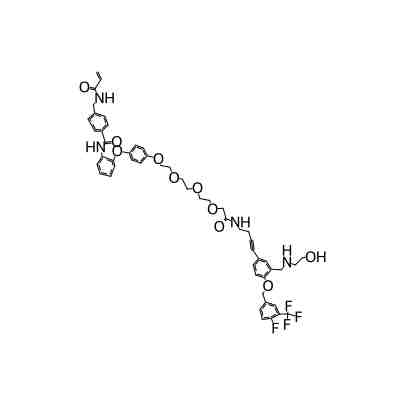 C=CC(=O)NCc1ccc(C(=O)Nc2ccccc2Oc2ccc(OCCOCCOCCOCC(=O)NCCC#Cc3ccc(OCc4ccc(F)c(C(F)(F)F)c4)c(CNCCO)c3)cc2)cc1